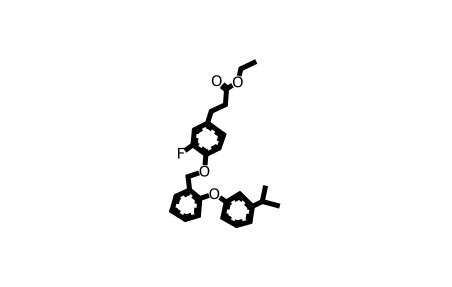 CCOC(=O)CCc1ccc(OCc2ccccc2Oc2cccc(C(C)C)c2)c(F)c1